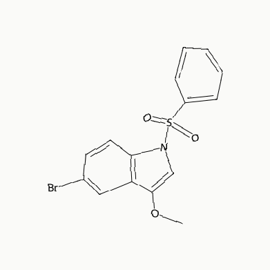 COc1cn(S(=O)(=O)c2ccccc2)c2ccc(Br)cc12